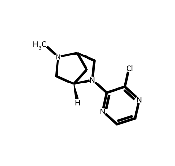 CN1C[C@@H]2CC1CN2c1nccnc1Cl